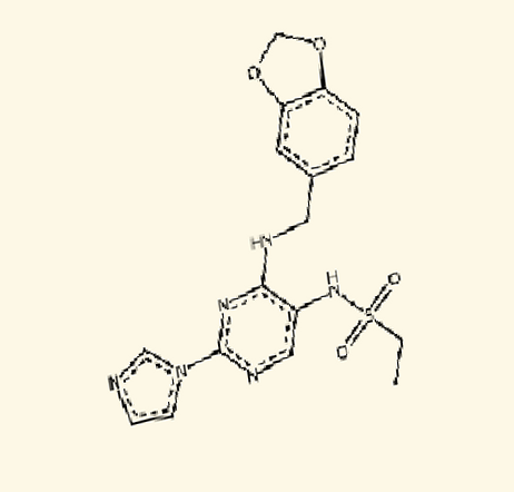 CCS(=O)(=O)Nc1cnc(-n2ccnc2)nc1NCc1ccc2c(c1)OCO2